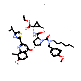 CCCCCCN(Cc1ccc(OC)cc1)C(=O)N1C[C@H](Oc2cc(-c3nc(C(C)C)cs3)nc3c(C)c(OC)ccc23)C[C@H]1C(=O)N[C@]1(C(=O)OCC)C[C@H]1C